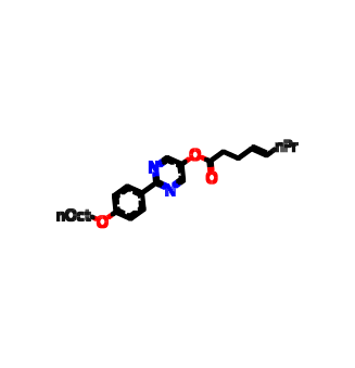 CCCC=CCCC(=O)Oc1cnc(-c2ccc(OCCCCCCCC)cc2)nc1